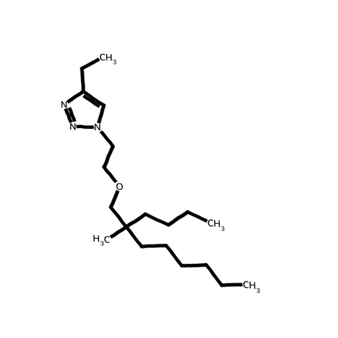 CCCCCCC(C)(CCCC)COCCn1cc(CC)nn1